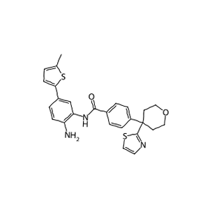 Cc1ccc(-c2ccc(N)c(NC(=O)c3ccc(C4(c5nccs5)CCOCC4)cc3)c2)s1